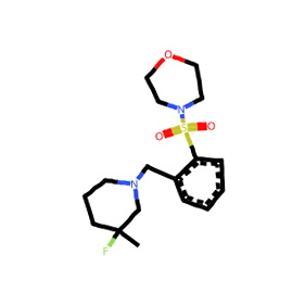 CC1(F)CCCN(Cc2ccccc2S(=O)(=O)N2CCOCC2)C1